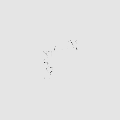 Cc1cc(CO)ccc1NC(=O)[C@H](C)NC(=O)[C@@H](NC(=O)CCCCCN1C(=O)C=CC1=O)C(C)C